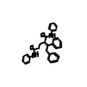 O=C(CCC(C(=O)Nc1ccccc1)C(Cc1ccccc1)c1ccccc1)Nc1ccccc1